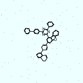 C1=Cc2c(cccc2C2C=CC(c3cc(-c4nc(-c5ccccc5)nc(-c5ccc(-c6ccccc6)cc5)n4)c4c(c3)oc3ccccc34)=CC2)CC1